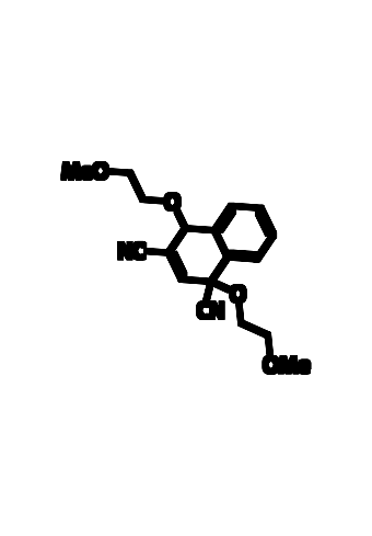 COCCOC1C(C#N)=CC(C#N)(OCCOC)c2ccccc21